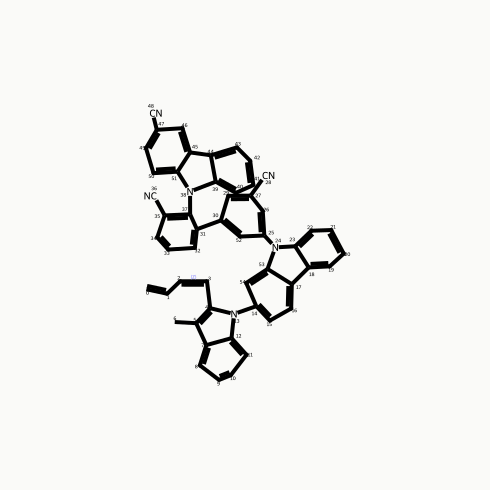 C=C/C=C\c1c(C)c2ccccc2n1-c1ccc2c3ccccc3n(-c3cc(C#N)cc(-c4cccc(C#N)c4-n4c5ccccc5c5cc(C#N)ccc54)c3)c2c1